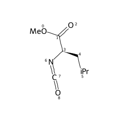 COC(=O)[C@@H](CC(C)C)N=C=O